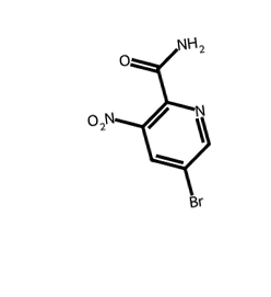 NC(=O)c1ncc(Br)cc1[N+](=O)[O-]